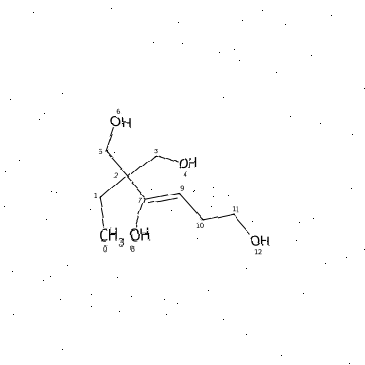 CCC(CO)(CO)C(O)=CCCO